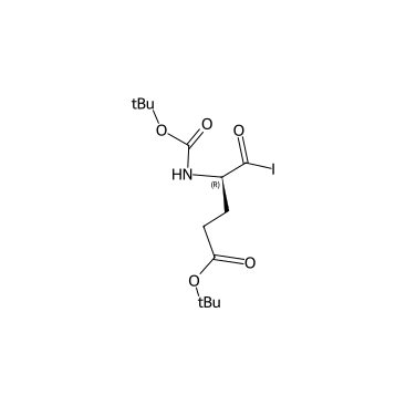 CC(C)(C)OC(=O)CC[C@@H](NC(=O)OC(C)(C)C)C(=O)I